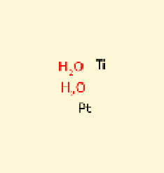 O.O.[Pt].[Ti]